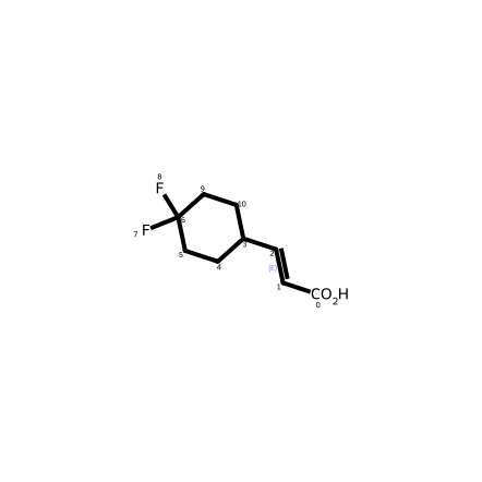 O=C(O)/C=C/C1CCC(F)(F)CC1